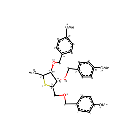 COc1ccc(COC[C@H]2SC(OC(C)=O)[C@@H](OCc3ccc(OC)cc3)[C@@H]2OCc2ccc(OC)cc2)cc1